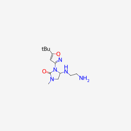 CN1CC(NCCN)N(c2cc(C(C)(C)C)on2)C1=O